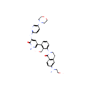 CN(CCO)c1ccc2c(c1)CCN(c1cccc(-c3cc(Nc4ccc(N5CCOCC5)cn4)c(=O)n(C)c3)c1CO)C2=O